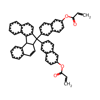 C=CC(=O)Oc1ccc2cc(C3(c4ccc5cc(OC(=O)C=C)ccc5c4)c4ccc5ccccc5c4C4c5ccccc5C=CC43)ccc2c1